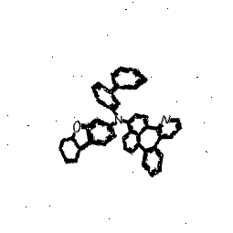 c1ccc(-c2cccc(N(c3ccc4c(c3)OC3CCCCC43)c3ccc4c5c(cccc35)-c3ccccc3-c3cccnc3-4)c2)cc1